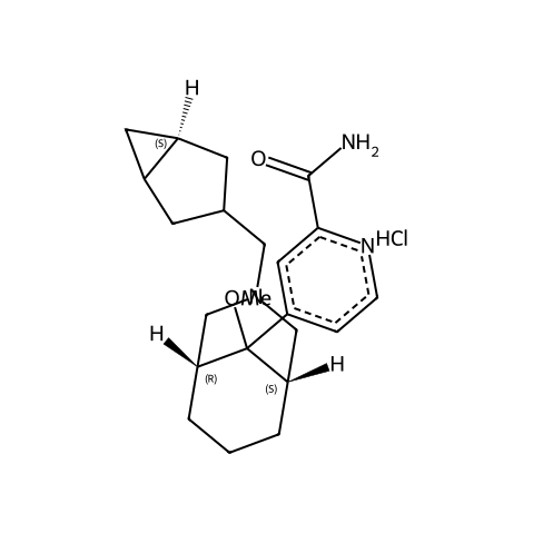 COC1(c2ccnc(C(N)=O)c2)[C@@H]2CCC[C@H]1CN(CC1CC3C[C@H]3C1)C2.Cl